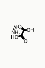 O=C(O)C(=O)O.[NH2][Al]